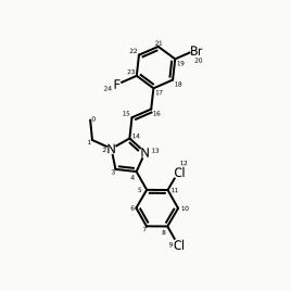 CCn1cc(-c2ccc(Cl)cc2Cl)nc1C=Cc1cc(Br)ccc1F